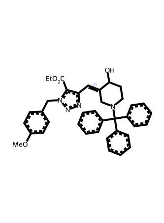 CCOC(=O)c1c(/C=C2\CN(C(c3ccccc3)(c3ccccc3)c3ccccc3)CCC2O)nnn1Cc1ccc(OC)cc1